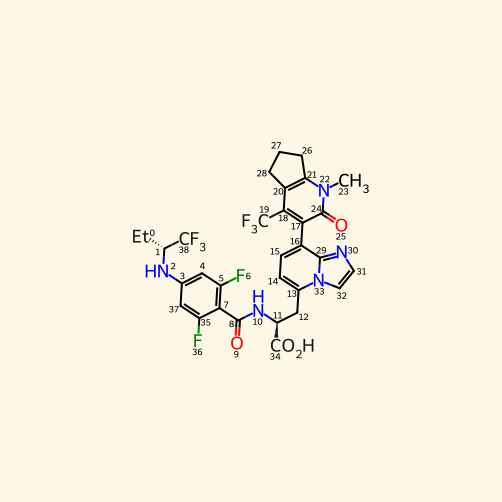 CC[C@@H](Nc1cc(F)c(C(=O)N[C@@H](Cc2ccc(-c3c(C(F)(F)F)c4c(n(C)c3=O)CCC4)c3nccn23)C(=O)O)c(F)c1)C(F)(F)F